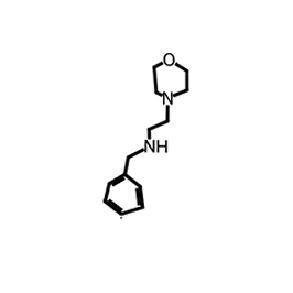 [c]1ccc(CNCCN2CCOCC2)cc1